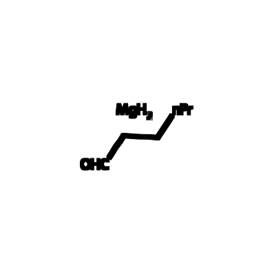 CCCCCC=O.[MgH2]